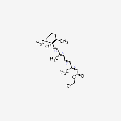 CC1=C(/C=C/C(C)=C/C=C/C(C)=C/C(=O)OCCl)C(C)(C)CCC1